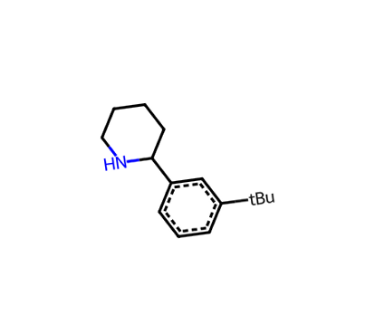 CC(C)(C)c1cccc(C2CCCCN2)c1